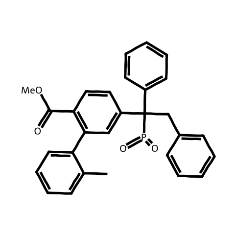 COC(=O)c1ccc(C(Cc2ccccc2)(c2ccccc2)P(=O)=O)cc1-c1ccccc1C